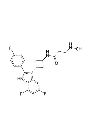 CNCCC(=O)N[C@H]1C[C@H](c2c(-c3ccc(F)cc3)[nH]c3c(F)cc(F)cc32)C1